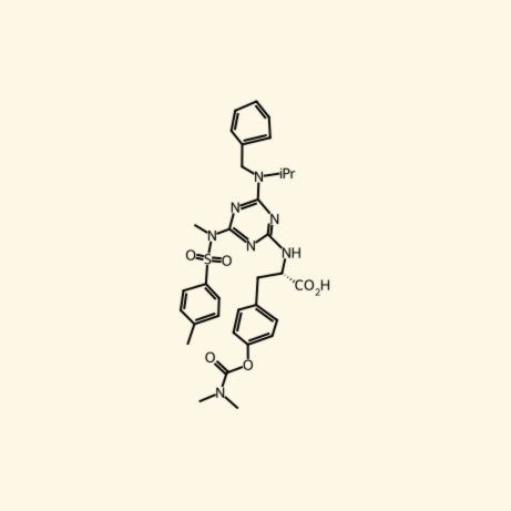 Cc1ccc(S(=O)(=O)N(C)c2nc(N[C@@H](Cc3ccc(OC(=O)N(C)C)cc3)C(=O)O)nc(N(Cc3ccccc3)C(C)C)n2)cc1